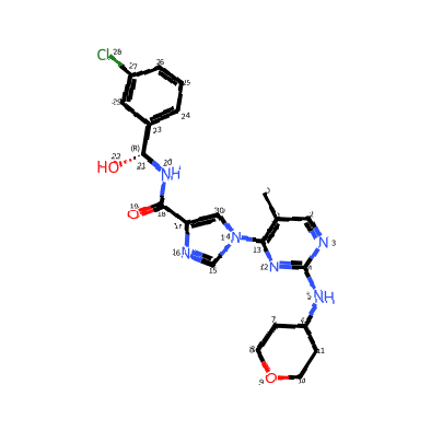 Cc1cnc(NC2CCOCC2)nc1-n1cnc(C(=O)N[C@H](O)c2cccc(Cl)c2)c1